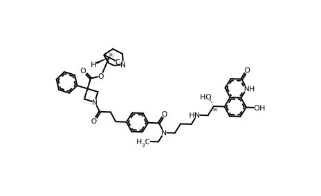 CCN(CCCNC[C@H](O)c1ccc(O)c2[nH]c(=O)ccc12)C(=O)c1ccc(CCC(=O)N2CC(C(=O)O[C@H]3CN4CCC3CC4)(c3ccccc3)C2)cc1